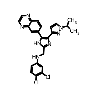 CC(C)n1ccc(-c2nc(CNc3ccc(Cl)c(Cl)c3)[nH]c2-c2ccc3nccnc3c2)n1